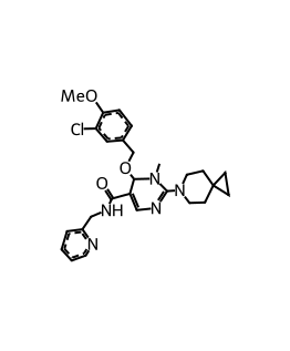 COc1ccc(COC2C(C(=O)NCc3ccccn3)=CN=C(N3CCC4(CC3)CC4)N2C)cc1Cl